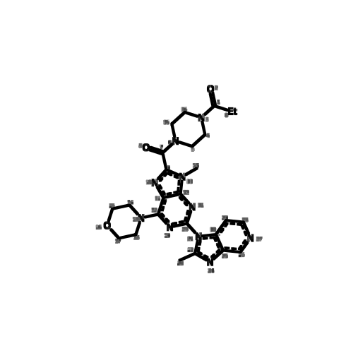 CCC(=O)N1CCN(C(=O)c2nc3c(N4CCOCC4)nc(-n4c(C)nc5cnccc54)nc3n2C)CC1